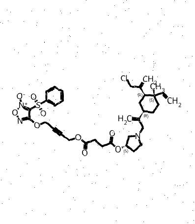 C=C[C@]1(C)CC[C@@H](C(=C)CN2CC[C@H](OC(=O)CCC(=O)OCC#CCOc3no[n+]([O-])c3S(=O)(=O)c3ccccc3)C2)C[C@H]1C(=C)CCl